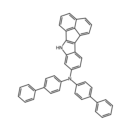 c1ccc(-c2ccc(N(c3ccc(-c4ccccc4)cc3)c3ccc4c5c([nH]c4c3)-c3cccc4cccc-5c34)cc2)cc1